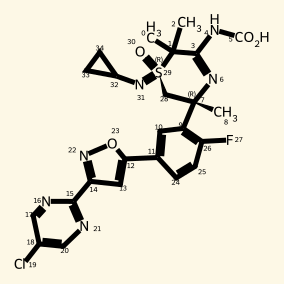 CC1(C)C(NC(=O)O)=N[C@](C)(c2cc(-c3cc(-c4ncc(Cl)cn4)no3)ccc2F)C[S@]1(=O)=NC1CC1